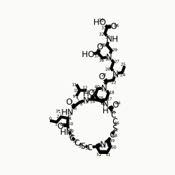 CC[C@H](C)[C@@H]1NC(=O)[C@H](CC(C)C)NC(=O)C2(CCN(C(=O)CN(CC)CCN(CCNCC(=O)O)CC(=O)O)CC2)NC(=O)CCSCc2cccc(n2)CSCCNC1=O